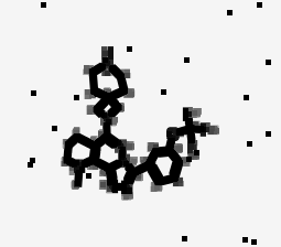 CN1CCCc2c(N3CC4(CCNCC4)C3)nn3c(-c4cccc(OC(F)(F)F)c4)nnc3c21